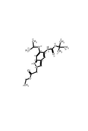 CCOC(=O)Cn1cc2cc(NC(=O)OC(C)(C)C)c(OC(C)C)cc2n1